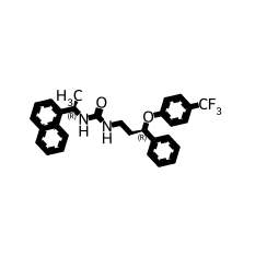 C[C@@H](NC(=O)NCC[C@@H](Oc1ccc(C(F)(F)F)cc1)c1ccccc1)c1cccc2ccccc12